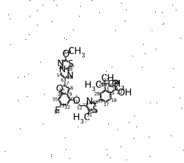 COc1nn2cc(-c3cc4c(OCc5nc(-c6ccc(C(=O)O)c(C(C)(C)C)c6)sc5C)cc(F)cc4o3)nc2s1